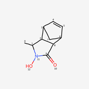 CC1C2C3C=CC(C3)C2C(=O)N1O